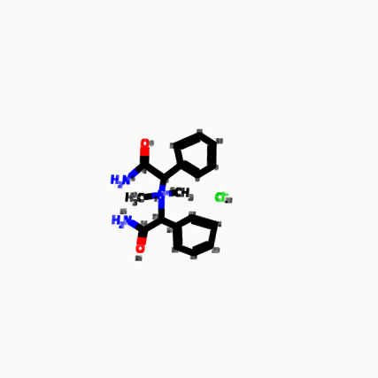 C[N+](C)(C(C(N)=O)c1ccccc1)C(C(N)=O)c1ccccc1.[Cl-]